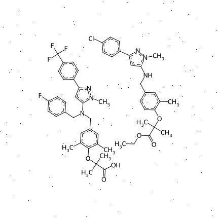 CCOC(=O)C(C)(C)Oc1ccc(CNc2cc(-c3ccc(Cl)cc3)nn2C)cc1C.Cc1cc(CN(Cc2ccc(F)cc2)c2cc(-c3ccc(C(F)(F)F)cc3)nn2C)cc(C)c1OC(C)(C)C(=O)O